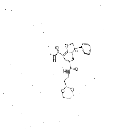 CNC(=O)c1cc(C(=O)NCCC2OCCCO2)cc2c1OC[C@H]2c1ccccc1